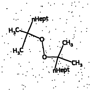 CCCCCCCC(C)(C)OOC(C)(C)CCCCCCC